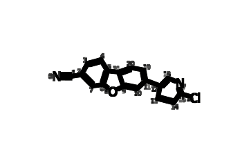 N#Cc1ccc2c(c1)oc1cc(-c3ccc(Cl)nc3)ccc12